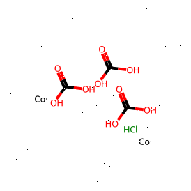 Cl.O=C(O)O.O=C(O)O.O=C(O)O.[Co].[Co]